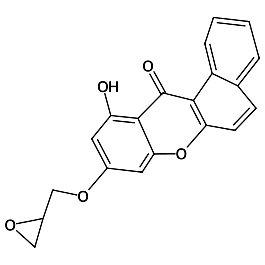 O=c1c2c(O)cc(OCC3CO3)cc2oc2ccc3ccccc3c12